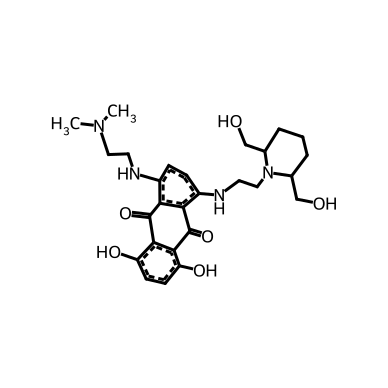 CN(C)CCNc1ccc(NCCN2C(CO)CCCC2CO)c2c1C(=O)c1c(O)ccc(O)c1C2=O